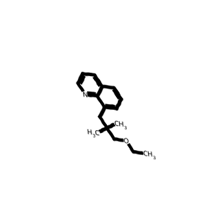 CCOCC(C)(C)Cc1cccc2cccnc12